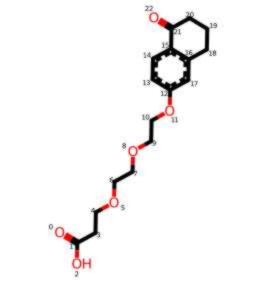 O=C(O)CCOCCOCCOc1ccc2c(c1)CCCC2=O